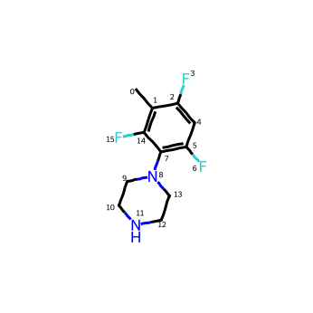 Cc1c(F)cc(F)c(N2CCNCC2)c1F